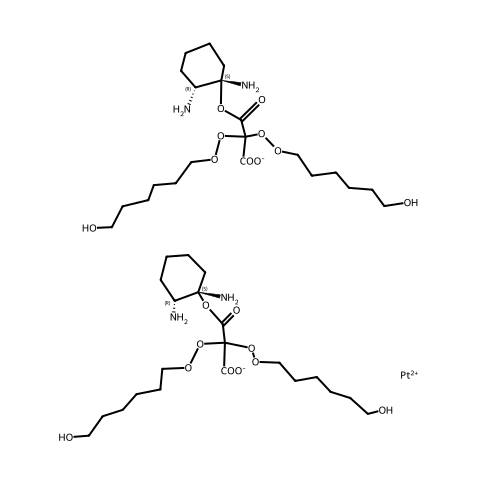 N[C@@H]1CCCC[C@]1(N)OC(=O)C(OOCCCCCCO)(OOCCCCCCO)C(=O)[O-].N[C@@H]1CCCC[C@]1(N)OC(=O)C(OOCCCCCCO)(OOCCCCCCO)C(=O)[O-].[Pt+2]